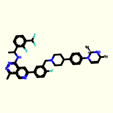 [2H]C1C=CN(c2ccc(C3CCN(Cc4cc(-c5cc6c(NC(C)c7cccc(C(F)F)c7F)nnc(C)c6cn5)ccc4F)CC3)cc2)[C@H]([2H])N1